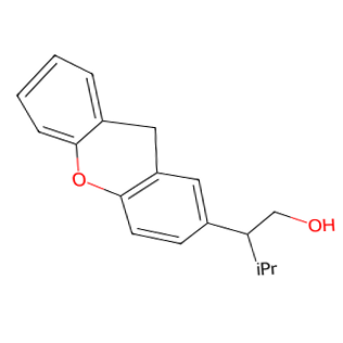 CC(C)C(CO)c1ccc2c(c1)Cc1ccccc1O2